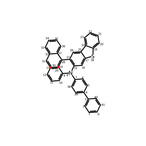 c1ccc(-c2ccc(N(c3ccccc3)c3cc4sc5ccccc5c4cc3-c3cccc4ccccc34)cc2)cc1